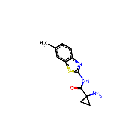 Cc1ccc2nc(NC(=O)C3(N)CC3)sc2c1